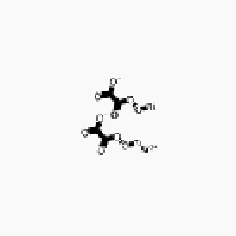 O=C([O-])C(=O)O[O][Ti].O=C([O-])C(=O)O[O][Ti].[Sr+2]